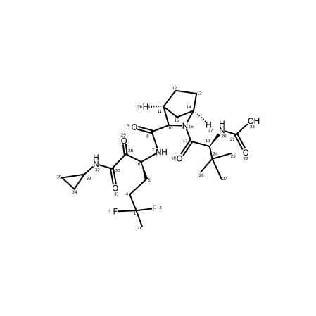 CC(F)(F)CC[C@H](NC(=O)C1[C@H]2CC[C@H](C2)N1C(=O)[C@@H](NC(=O)O)C(C)(C)C)C(=O)C(=O)NC1CC1